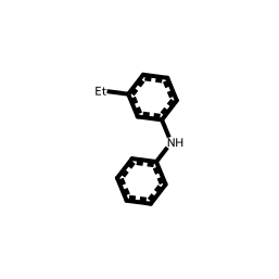 CCc1cccc(Nc2ccccc2)c1